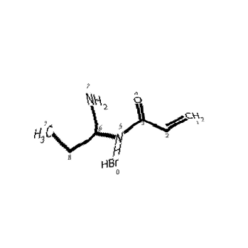 Br.C=CC(=O)NC(N)CC